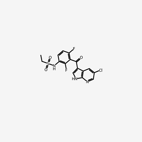 CCS(=O)(=O)Nc1ccc(F)c(C(=O)c2c[nH]c3ncc(Cl)cc23)c1F